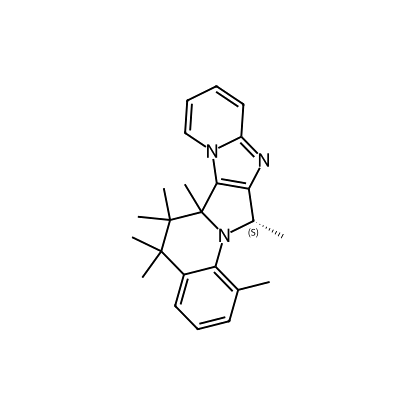 Cc1cccc2c1N1[C@@H](C)c3nc4ccccn4c3C1(C)C(C)(C)C2(C)C